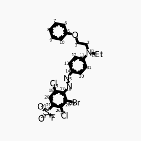 CCN(CCOc1ccccc1)c1ccc(/N=N/c2c(Cl)cc(S(=O)(=O)F)c(Cl)c2Br)cc1